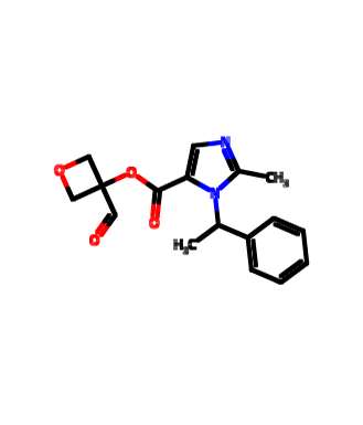 Cc1ncc(C(=O)OC2(C=O)COC2)n1C(C)c1ccccc1